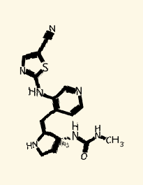 CNC(=O)N[C@@H]1CCNC1Cc1ccncc1Nc1ncc(C#N)s1